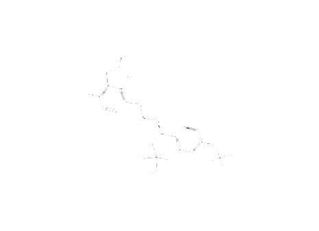 O=C(Nc1ccc(F)c2c1C[C@H](O)C2)N[C@@H]1CC(CF)(CF)Oc2cc(OC(F)(F)F)ccc21